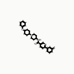 O=C(NC1CCN(C2CCC(Oc3ccccc3)CC2)CC1)c1ccc(-c2cccc(F)c2)nc1